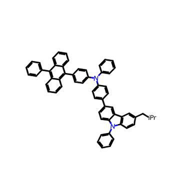 CC(C)Cc1ccc2c(c1)c1cc(-c3ccc(N(c4ccccc4)c4ccc(-c5c6ccccc6c(-c6ccccc6)c6ccccc56)cc4)cc3)ccc1n2-c1ccccc1